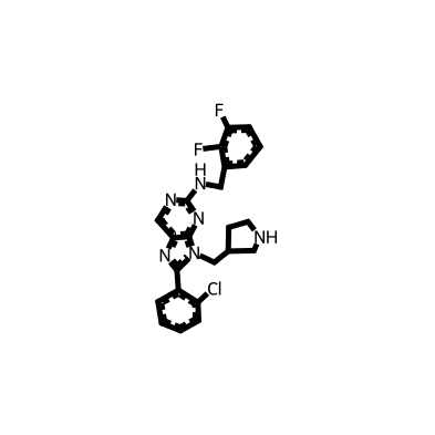 Fc1cccc(CNc2ncc3nc(-c4ccccc4Cl)n(CC4CCNC4)c3n2)c1F